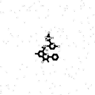 [2H]C(C)(Nc1ccc(Cl)nc1-c1noc(=O)[nH]1)c1cc(C)cc2c(=O)c(C)c(-c3ccccc3)oc12